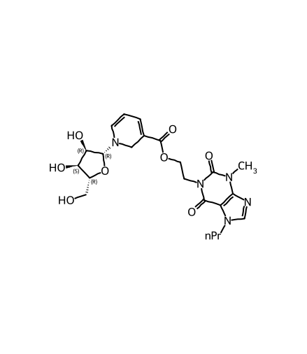 CCCn1cnc2c1c(=O)n(CCOC(=O)C1=CC=CN([C@@H]3O[C@H](CO)[C@@H](O)[C@H]3O)C1)c(=O)n2C